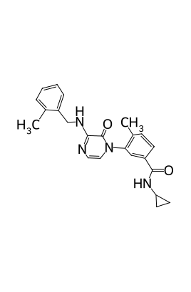 Cc1ccccc1CNc1nccn(-c2cc(C(=O)NC3CC3)ccc2C)c1=O